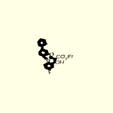 CCOC(=O)C1C(=O)N(Cc2ccc(-c3ccccc3)cc2)c2ccc(F)cc2C1O